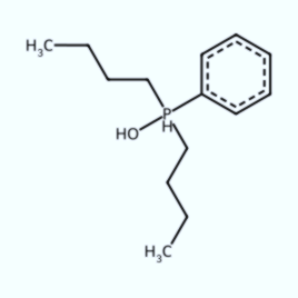 CCCC[PH](O)(CCCC)c1ccccc1